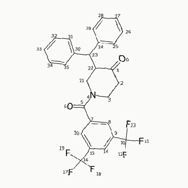 O=C1CCN(C(=O)c2cc(C(F)(F)F)cc(C(F)(F)F)c2)CC1C(c1ccccc1)c1ccccc1